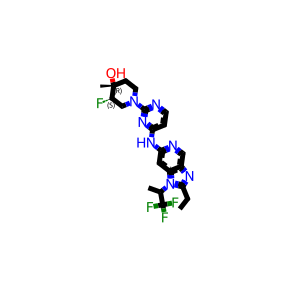 CCc1nc2cnc(Nc3ccnc(N4CC[C@@](C)(O)[C@@H](F)C4)n3)cc2n1C(C)C(F)(F)F